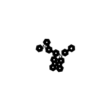 C1=CCC(c2ccc(N(c3ccc(-c4ccc5c(c4)c4ccccc4n5-c4ccccc4)cc3)c3ccc4c(c3)C3(c5ccccc5-c5ccccc53)c3ccccc3-4)cc2)C=C1